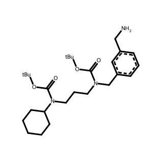 CC(C)(C)OC(=O)N(CCCN(C(=O)OC(C)(C)C)C1CCCCC1)Cc1cccc(CN)c1